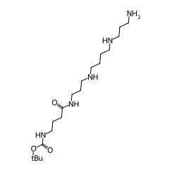 CC(C)(C)OC(=O)NCCCC(=O)NCCCNCCCCNCCCN